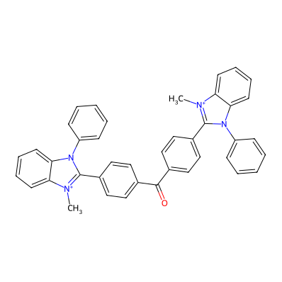 C[n+]1c(-c2ccc(C(=O)c3ccc(-c4n(-c5ccccc5)c5ccccc5[n+]4C)cc3)cc2)n(-c2ccccc2)c2ccccc21